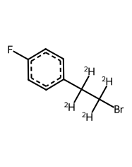 [2H]C([2H])(Br)C([2H])([2H])c1ccc(F)cc1